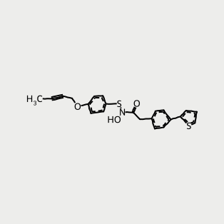 CC#CCOc1ccc(SN(O)C(=O)Cc2ccc(-c3cccs3)cc2)cc1